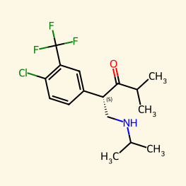 CC(C)NC[C@@H](C(=O)C(C)C)c1ccc(Cl)c(C(F)(F)F)c1